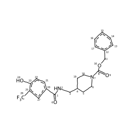 O=C(NCC1CCN(C(=O)OCc2ccccc2)CC1)c1ccc(O)c(C(F)(F)F)c1